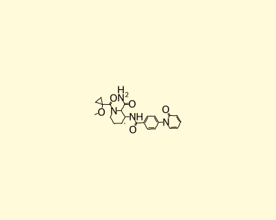 COC1(C(=O)N2CC[CH]C(NC(=O)c3ccc(-n4ccccc4=O)cc3)C2C(N)=O)CC1